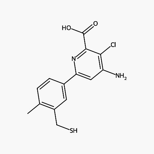 Cc1ccc(-c2cc(N)c(Cl)c(C(=O)O)n2)cc1CS